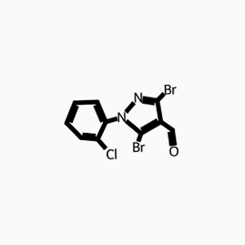 O=Cc1c(Br)nn(-c2ccccc2Cl)c1Br